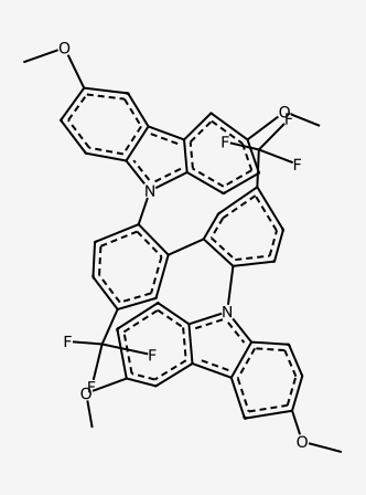 COc1ccc2c(c1)c1cc(OC)ccc1n2-c1ccc(C(F)(F)F)cc1-c1cc(C(F)(F)F)ccc1-n1c2ccc(OC)cc2c2cc(OC)ccc21